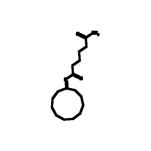 NC(=O)CCCCC(=O)N=C1CCCCCCCCCC1